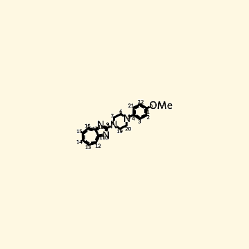 COc1ccc(N2CCN(c3nc4cccccc-4n3)CC2)cc1